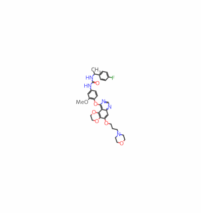 COc1cc(NC(=O)NC(C)c2ccc(F)cc2)ccc1Oc1ncnc2cc(OCCCN3CCOCC3)c3c(c12)OCCO3